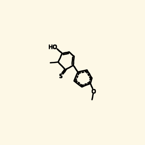 COc1ccc(C2=CC=C(O)C(C)C2=S)cc1